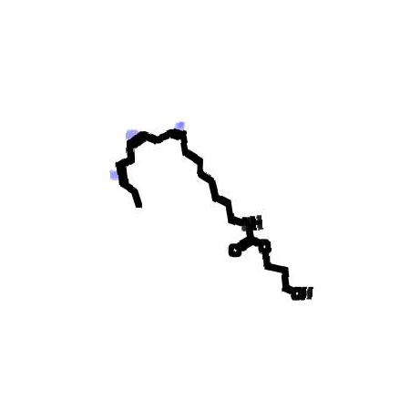 CC/C=C\C/C=C\C/C=C\CCCCCCCNC(=O)OCCCO